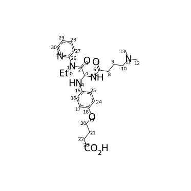 CCN(C(=O)C(NC(=O)CCCN(C)C)Nc1ccc(OCCCC(=O)O)cc1)c1ccccn1